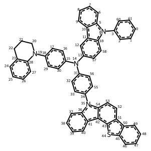 c1ccc(-n2c3ccccc3c3cc(N(c4ccc(N5CCCc6ccccc65)cc4)c4ccc(-n5c6ccccc6c6c7sc8ccccc8c7ccc65)cc4)ccc32)cc1